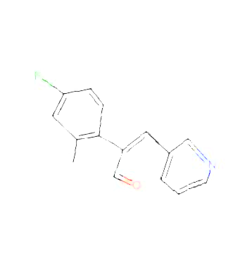 Cc1cc(F)ccc1/C(C=O)=C/c1cccnc1